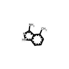 Cc1c[c]cc2[nH]nc(N)c12